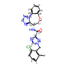 Cc1cccc(Cl)c1Cn1cnc(C(=O)N[C@H]2COc3ccccc3-n3nnnc32)n1